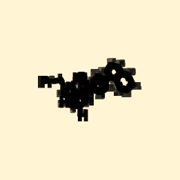 CC(C)CN1C[C@@H]2C[C@H]3C=N[C@]2(C(=O)NCCc2cccc4ccccc24)[C@@H]1[C@@H]3Cc1ccccc1